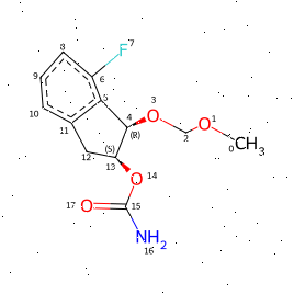 COCO[C@@H]1c2c(F)cccc2C[C@@H]1OC(N)=O